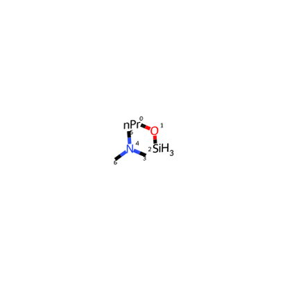 CCCO[SiH3].CN(C)C